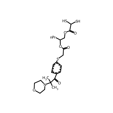 CCCC(COC(=O)C(S)S)OC(=O)CSc1ccc(C(=O)C(C)(C)N2CCOCC2)cc1